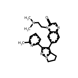 Cc1cccc(-c2nn3c(c2-c2ccc4ncc(=O)n(CCN(C)C)c4c2)CCC3)n1